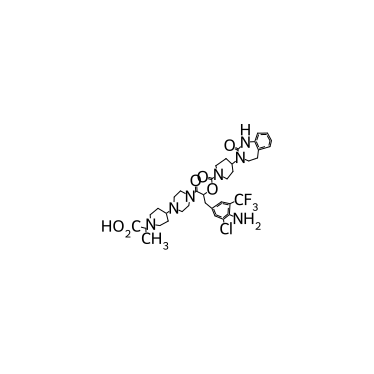 CC(C(=O)O)N1CCC(N2CCN(C(=O)C(Cc3cc(Cl)c(N)c(C(F)(F)F)c3)OC(=O)N3CCC(N4CCc5ccccc5NC4=O)CC3)CC2)CC1